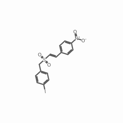 O=[N+]([O-])c1ccc(C=CS(=O)(=O)Cc2ccc(I)cc2)cc1